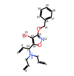 C=CCN(CC=C)[C@@H](C=C)c1onc(OCc2ccccc2)c1Br